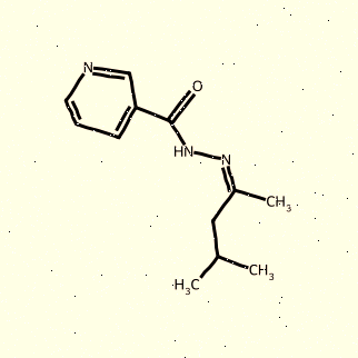 CC(CC(C)C)=NNC(=O)c1cccnc1